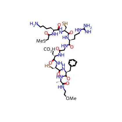 COCCNC(=O)[C@H](C)NC(=O)[C@H](Cc1ccccc1)NC(=O)[C@H](CS)NC(=O)[C@H](CC(=O)O)NC(=O)CNC(=O)[C@H](CCCNC(=N)N)NC(=O)[C@H](CS)NC(=O)[C@H](CCCCN)NC(=O)CSC